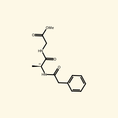 COC(=O)CNC(=O)[C@H](C)NC(=O)Cc1ccccc1